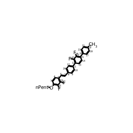 CCCCCOc1ccc(/C=C/c2ccc(-c3ccc(-c4ccc(C)cc4)c(F)c3F)cc2)c(F)c1F